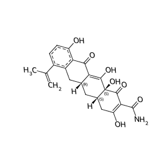 C=C(C)c1ccc(O)c2c1C[C@H]1C[C@H]3CC(O)=C(C(N)=O)C(=O)[C@@]3(O)C(O)=C1C2=O